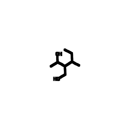 CCC(C)C(CO)C(C)O